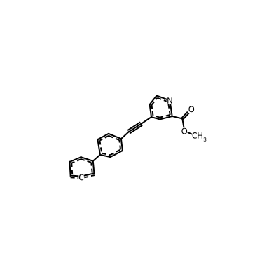 COC(=O)c1cc(C#Cc2ccc(-c3ccccc3)cc2)ccn1